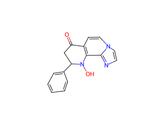 O=C1CC(c2ccccc2)N(O)c2c1ccn1ccnc21